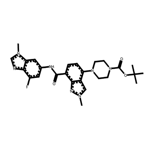 Cn1cc2c(N3CCN(C(=O)OC(C)(C)C)CC3)ccc(C(=O)Nc3cc(F)c4ncn(C)c4c3)c2n1